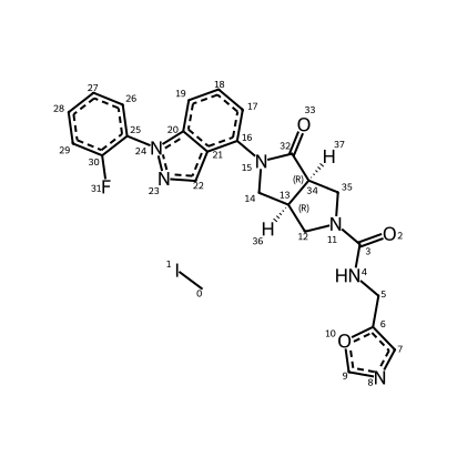 CI.O=C(NCc1cnco1)N1C[C@H]2CN(c3cccc4c3cnn4-c3ccccc3F)C(=O)[C@H]2C1